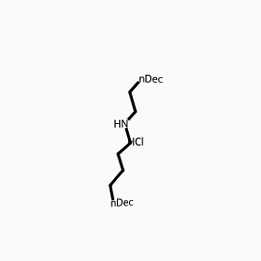 CCCCCCCCCCCCCCNCCCCCCCCCCCC.Cl